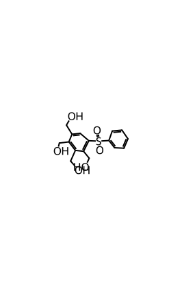 O=S(=O)(c1ccccc1)c1cc(CO)c(CO)c(CO)c1CO